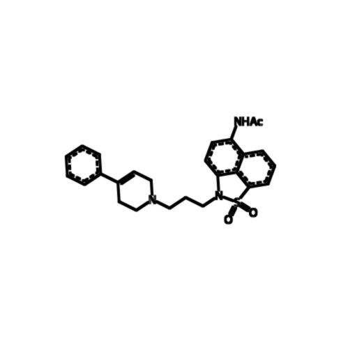 CC(=O)Nc1ccc2c3c(cccc13)S(=O)(=O)N2CCCN1CC=C(c2ccccc2)CC1